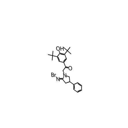 CC(C)(C)c1cc(C(=O)CN2CC(c3ccccc3)C/C2=N/Br)cc(C(C)(C)C)c1O